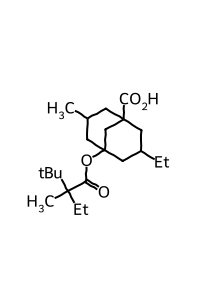 CCC1CC2(OC(=O)C(C)(CC)C(C)(C)C)CC(C)CC(C(=O)O)(C1)C2